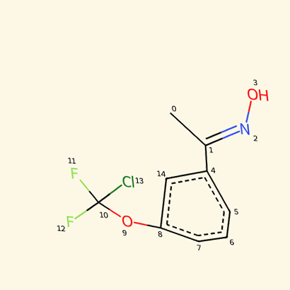 C/C(=N\O)c1cccc(OC(F)(F)Cl)c1